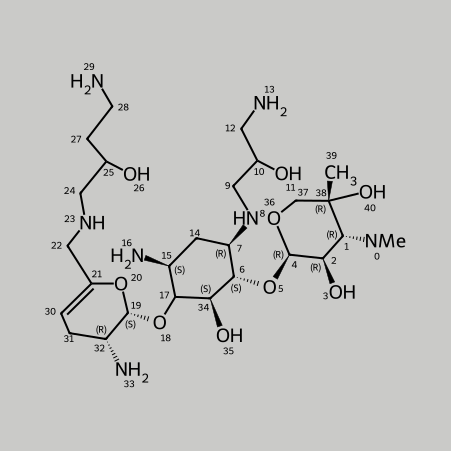 CN[C@@H]1[C@@H](O)[C@@H](O[C@H]2[C@H](NCC(O)CN)C[C@H](N)C(O[C@H]3OC(CNCC(O)CCN)=CC[C@H]3N)[C@@H]2O)OC[C@]1(C)O